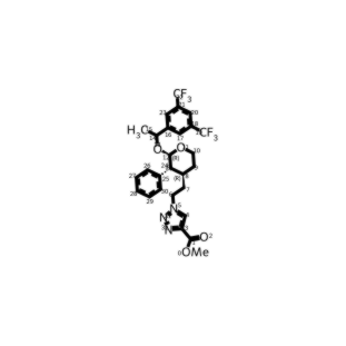 COC(=O)c1cn(CC[C@@H]2CCO[C@H](OC(C)c3cc(C(F)(F)F)cc(C(F)(F)F)c3)[C@H]2c2ccccc2)nn1